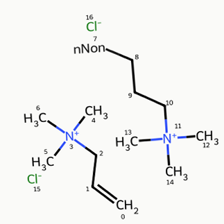 C=CC[N+](C)(C)C.CCCCCCCCCCCC[N+](C)(C)C.[Cl-].[Cl-]